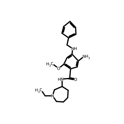 CCN1CCCCC(NC(=O)c2cc(N)c(NCc3ccccc3)cc2OC)C1